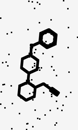 C#CCC1CCCCN1C1CCN(Sc2ccccc2)CC1